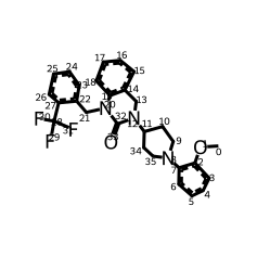 COc1ccccc1N1CCC(N2Cc3ccccc3N(Cc3ccccc3C(F)(F)F)C2=O)CC1